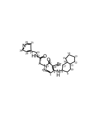 O=C(Cn1ncc(NC2CCC3CCCCC3C2)c(Br)c1=O)NCc1ccncc1